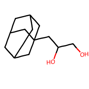 OCC(O)CC12CC3CC(CC(C3)C1)C2